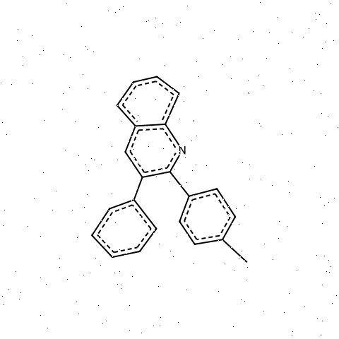 Cc1ccc(-c2nc3ccccc3cc2-c2ccccc2)cc1